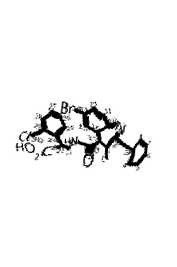 Cc1c(-c2ccccc2)nc2ccc(Br)cc2c1C(=O)NCC(C(=O)O)c1ccccc1Cl